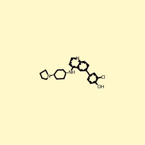 Oc1ccc(-c2ccc3nc[c]c(N[C@H]4CC[C@H](N5CCCC5)CC4)c3c2)cc1Cl